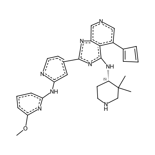 COc1cccc(Nc2cc(-c3nc(N[C@H]4CCNCC4(C)C)c4c(C5=CC=C5)cncc4n3)ccn2)n1